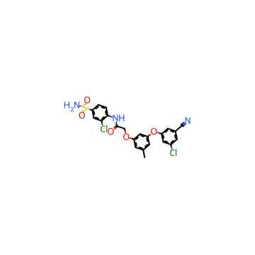 Cc1cc(OCC(=O)Nc2ccc(S(N)(=O)=O)cc2Cl)cc(Oc2cc(Cl)cc(C#N)c2)c1